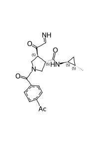 CC(=O)c1ccc(C(=O)N2C[C@@H](C(=O)C=N)[C@H](C(=O)N[C@H]3C[C@@H]3C)C2)cc1